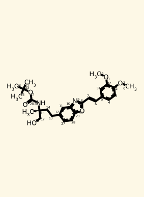 COc1ccc(/C=C/c2nc3cc(CC[C@](C)(CO)NC(=O)OC(C)(C)C)ccc3o2)cc1OC